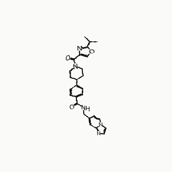 CC(C)c1nc(C(=O)N2CCC(c3ccc(C(=O)NCc4ccn5ccnc5c4)cc3)CC2)co1